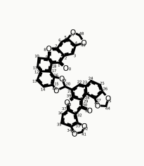 O=c1c2cc3c(cc2oc2ccc4ccc5c(c4c12)OC(c1cc2ccc4c(c2c2c(=O)c6c7c(ccc6oc12)OCO7)OCO4)O5)OCO3